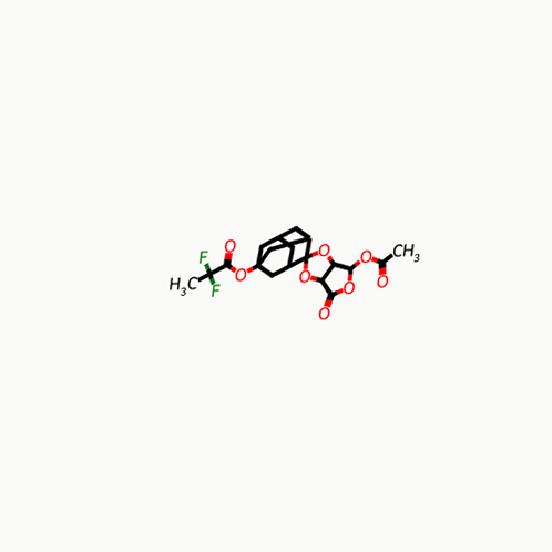 CC(=O)OC1OC(=O)C2OC3(OC12)C1CC2CC3CC(OC(=O)C(C)(F)F)(C2)C1